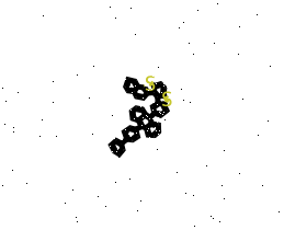 c1ccc(-c2ccc(-c3c4ccccc4c(-c4ccc5sc6ccc7sc8c9ccccc9ccc8c7c6c5c4)c4ccccc34)cc2)cc1